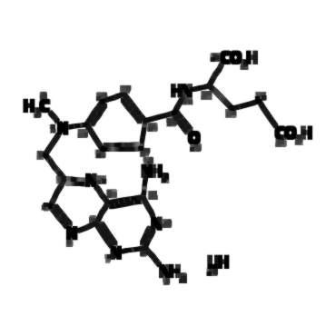 CN(Cc1cnc2nc(N)nc(N)c2n1)c1ccc(C(=O)NC(CCC(=O)O)C(=O)O)cc1.[LiH]